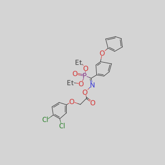 CCOP(=O)(OCC)C(=NOC(=O)COc1ccc(Cl)c(Cl)c1)c1cccc(Oc2ccccc2)c1